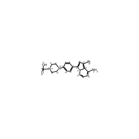 Nc1ncnn2c(-c3ccc(N4CCN(C(=O)O)CC4)cc3)cc(Br)c12